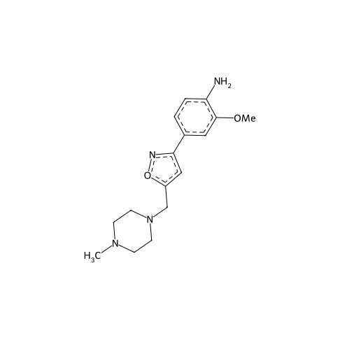 COc1cc(-c2cc(CN3CCN(C)CC3)on2)ccc1N